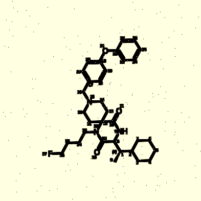 C[C@H](C1CCCCC1)C1NC(=O)C2(CCN(Cc3ccc(Oc4ccccc4)cc3)CC2)N(CCCCF)C1=O